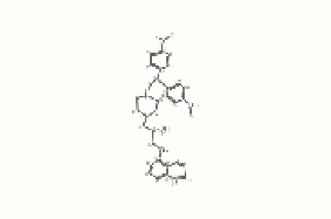 COc1ccc(C(CN2CCN(CC(O)COc3cccc4ncccc34)CC2)c2ccc(OC)cc2)cc1